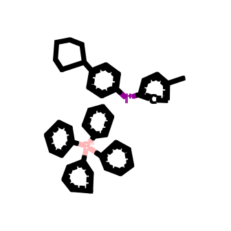 Cc1ccc([I+]c2ccc(C3CCCCC3)cc2)cc1.c1ccc([B-](c2ccccc2)(c2ccccc2)c2ccccc2)cc1